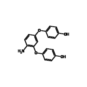 Nc1ccc(Oc2ccc(O)cc2)cc1Oc1ccc(O)cc1